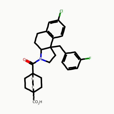 O=C(O)C12CCC(C(=O)N3CCC4(Cc5cccc(F)c5)c5ccc(Cl)cc5CCC34)(CC1)CC2